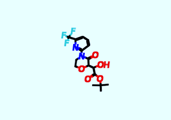 CC(C)(C)OC(=O)C(O)C1OCCN(c2cccc(C(F)(F)F)n2)C1=O